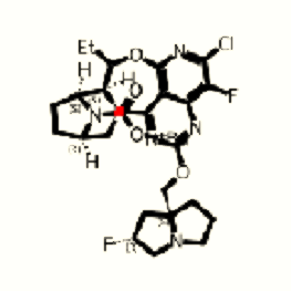 CCC1Oc2nc(Cl)c(F)c3nc(OC[C@@]45CCCN4C[C@H](F)C5)nc(c23)N2C[C@H]3CC[C@@H]([C@@H]12)N3C(=O)OC(C)(C)C